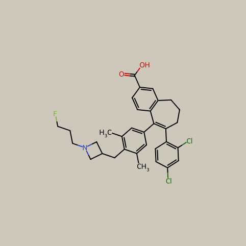 Cc1cc(C2=C(c3ccc(Cl)cc3Cl)CCCc3cc(C(=O)O)ccc32)cc(C)c1CC1CN(CCCF)C1